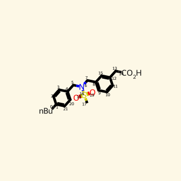 CCCCc1ccc(CN(Cc2cccc(CC(=O)O)c2)S(C)(=O)=O)cc1